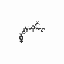 CCN(CC)CCCC[C@H](NC(=O)CNC(=O)[C@H](C)NC(=O)CNC(=O)c1ccc(C(C)(C)C)cc1)C(=O)NCC(=O)OC